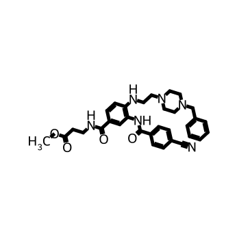 COC(=O)CCNC(=O)c1ccc(NCCN2CCN(Cc3ccccc3)CC2)c(NC(=O)c2ccc(C#N)cc2)c1